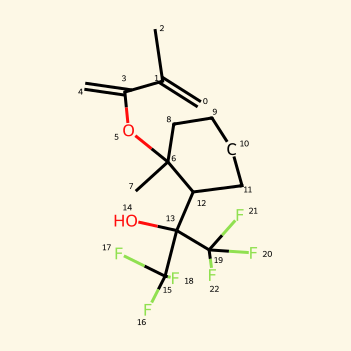 C=C(C)C(=C)OC1(C)CCCCC1C(O)(C(F)(F)F)C(F)(F)F